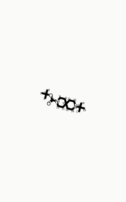 CC(C)(C)OC(=O)N1CCC2(CC1)CCN(C(C)(C)C)CC2